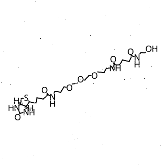 O=C(CCCC(=O)NCCCOCCOCCOCCCNC(=O)CCCC1SC[C@@H]2NC(=O)N[C@H]12)NCCO